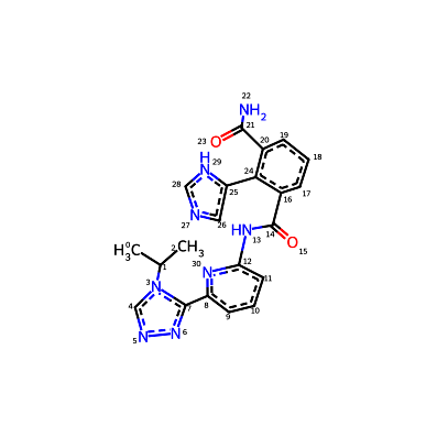 CC(C)n1cnnc1-c1cccc(NC(=O)c2cccc(C(N)=O)c2-c2cnc[nH]2)n1